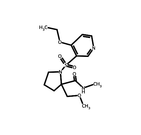 CCOc1ccncc1S(=O)(=O)N1CCCC1(COC)C(=O)NC